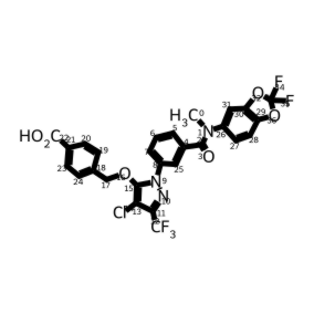 CN(C(=O)c1cccc(-n2nc(C(F)(F)F)c(Cl)c2OCc2ccc(C(=O)O)cc2)c1)c1ccc2c(c1)OC(F)(F)O2